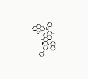 Cc1cc(N(c2ccccc2)c2cc3ccc4cccc5oc(c2)c3c45)c2ccc3c(C)cc(N(c4ccccc4)c4c(F)cc(-c5ccccc5)cc4-c4ccccc4)c4ccc1c2c34